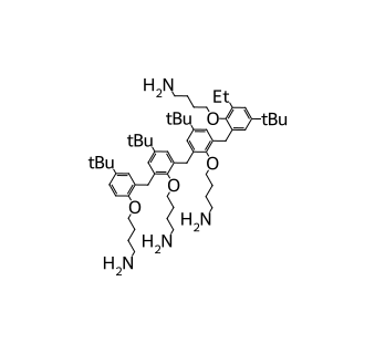 CCc1cc(C(C)(C)C)cc(Cc2cc(C(C)(C)C)cc(Cc3cc(C(C)(C)C)cc(Cc4cc(C(C)(C)C)ccc4OCCCCN)c3OCCCCN)c2OCCCCN)c1OCCCCN